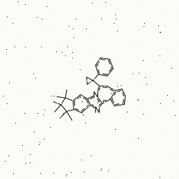 CC1(C)c2cc3nc4c5ccccc5cc(C5(c6ccccc6)CC5)n4c3cc2C(C)(C)C1(C)C